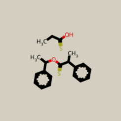 CC(OC(=S)C(C)c1ccccc1)c1ccccc1.CCC(O)=S